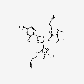 CC(C)N(C(C)C)P(OCCC#N)O[C@H]1C[C@H](n2ccc(N)nc2=O)O[C@@H]1C1OP(=O)(O)N1SCCC#N